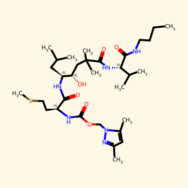 CCCCNC(=O)[C@@H](NC(=O)C(C)(C)C[C@H](O)[C@H](CC(C)C)NC(=O)[C@H](CCSC)NC(=O)OCn1nc(C)cc1C)C(C)C